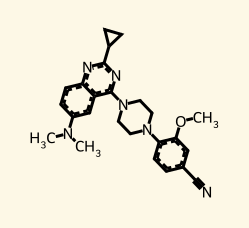 COc1cc(C#N)ccc1N1CCN(c2nc(C3CC3)nc3ccc(N(C)C)cc23)CC1